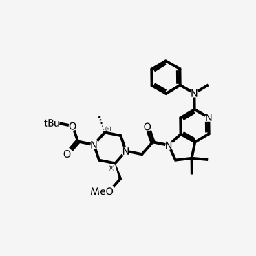 COC[C@H]1CN(C(=O)OC(C)(C)C)[C@H](C)CN1CC(=O)N1CC(C)(C)c2cnc(N(C)c3ccccc3)cc21